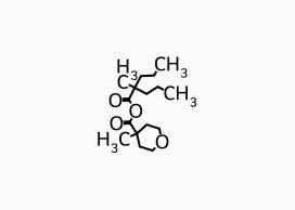 CCCC(C)(CCC)C(=O)OC(=O)C1(C)CCOCC1